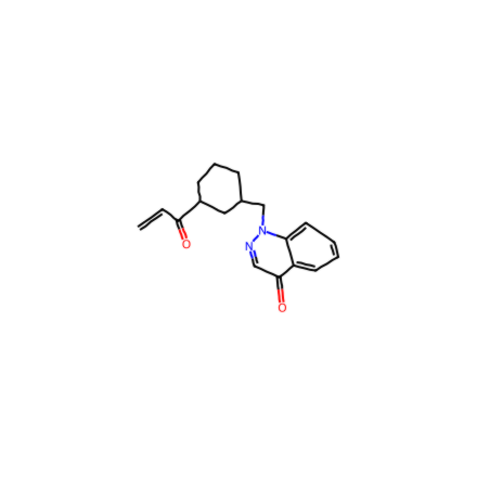 C=CC(=O)C1CCCC(Cn2ncc(=O)c3ccccc32)C1